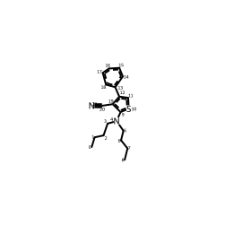 CCCCN(CCCC)c1scc(-c2ccccc2)c1C#N